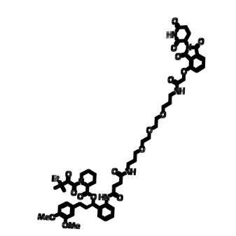 CCC(C)(C)C(=O)C(=O)N1CCCCC1C(=O)O[C@H](CCc1ccc(OC)c(OC)c1)c1ccccc1NC(=O)CCC(=O)NCCCOCCOCCOCCCNC(=O)COc1cccc2c1C(=O)N(C1CCC(=O)NC1=O)C2=O